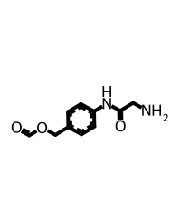 NCC(=O)Nc1ccc(COC=O)cc1